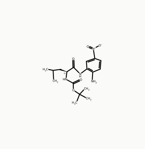 CC(C)C[C@H](NC(=O)OC(C)(C)C)C(=O)Nc1cc([N+](=O)[O-])ccc1N